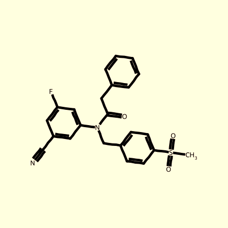 CS(=O)(=O)c1ccc(CN(C(=O)Cc2ccccc2)c2cc(F)cc(C#N)c2)cc1